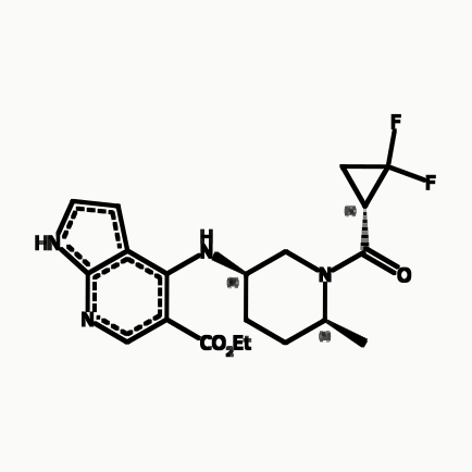 CCOC(=O)c1cnc2[nH]ccc2c1N[C@@H]1CC[C@H](C)N(C(=O)[C@@H]2CC2(F)F)C1